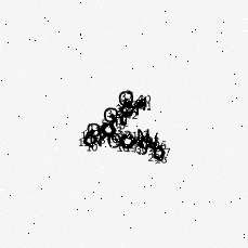 CN(C(=O)c1ccc(CN2CCCC2=O)c(Oc2ccc(-c3nnc(C4CCCC4)s3)cc2)c1)C1CC(=O)N(C2CC2)C1